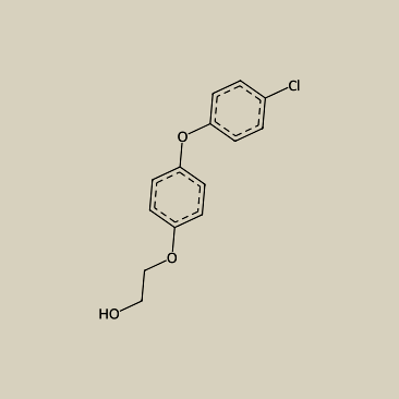 OCCOc1ccc(Oc2ccc(Cl)cc2)cc1